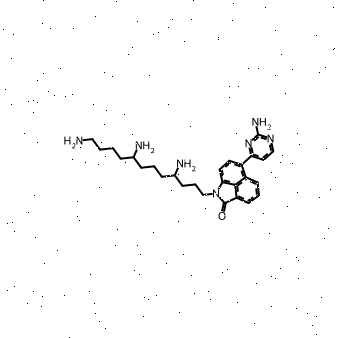 NCCCCC(N)CCCC(N)CCCN1C(=O)c2cccc3c(-c4ccnc(N)n4)ccc1c23